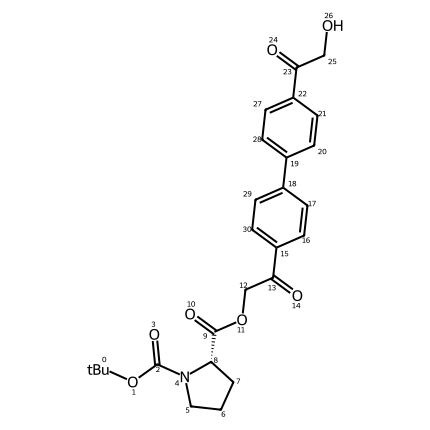 CC(C)(C)OC(=O)N1CCC[C@H]1C(=O)OCC(=O)c1ccc(-c2ccc(C(=O)CO)cc2)cc1